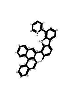 Fc1ccc2c(oc3c(-c4ccccn4)cccc32)c1-c1cc2ccccc2c2c1ccc1ccccc12